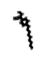 CCCCCCCCCc1ccc(C(O)CC)cc1